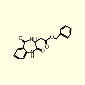 O=C(CC1NC(=O)c2ccccc2NC1=O)OCc1ccccc1